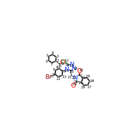 O=C(c1ccccc1)c1cc(Br)ccc1-n1c(Cl)nnc1CN1C(=O)c2ccccc2C1=O